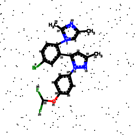 Cc1cn(-c2ccc(Br)cc2-c2cc(C)nn2-c2ccc(OC(F)F)cc2)c(C)n1